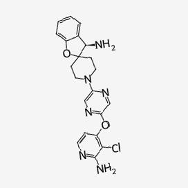 Nc1nccc(Oc2cnc(N3CCC4(CC3)Oc3ccccc3[C@H]4N)cn2)c1Cl